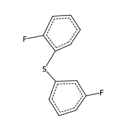 Fc1cccc(Sc2ccccc2F)c1